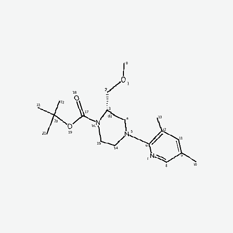 COC[C@@H]1CN(c2ncc(C)cc2C)CCN1C(=O)OC(C)(C)C